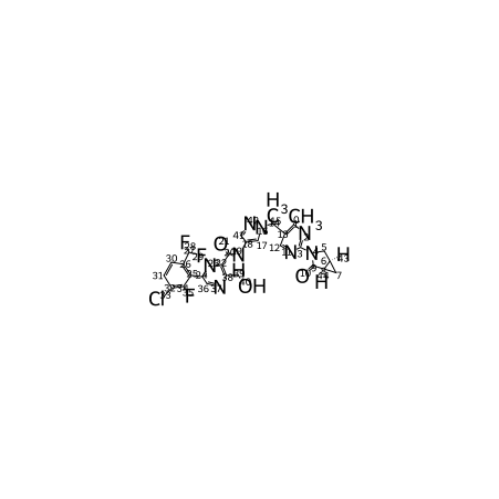 Cc1nc(N2C[C@H]3C[C@H]3C2=O)ncc1[C@H](C)n1cc(NC(=O)c2nc(-c3c(C(F)F)ccc(Cl)c3F)cnc2CO)cn1